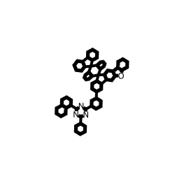 c1ccc(-c2nc(-c3cccc(-c4ccc5c(c4)-c4cc6oc7ccccc7c6cc4C54c5ccccc5C5(c6ccccc6-c6ccccc65)c5ccccc54)c3)nc(-c3cccc4ccccc34)n2)cc1